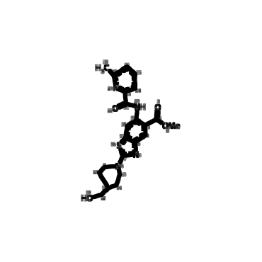 COC(=O)c1cc2nc(N3CCC(CO)CC3)sc2cc1NC(=O)c1cccc(C)n1